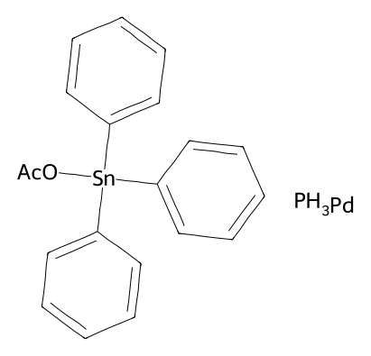 CC(=O)[O][Sn]([c]1ccccc1)([c]1ccccc1)[c]1ccccc1.P.[Pd]